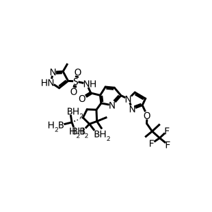 BC(B)(B)[C@@H]1CC(c2nc(-n3ccc(OCC(C)(C)C(F)(F)F)n3)ccc2C(=O)NS(=O)(=O)c2c[nH]nc2C)C(C)(C)C1(B)B